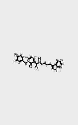 O=C(NCCCCc1c[nH]c2ncccc12)c1cccn(Cc2ccc(F)c(F)c2)c1=O